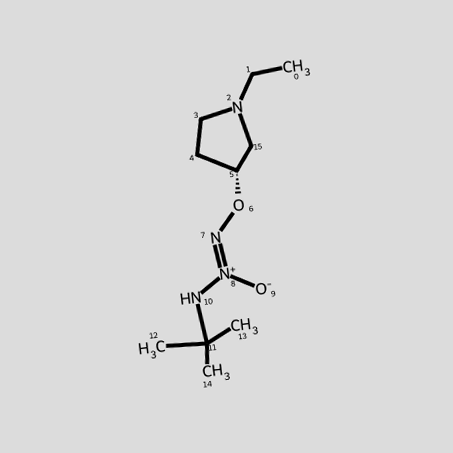 CCN1CC[C@@H](O/N=[N+](\[O-])NC(C)(C)C)C1